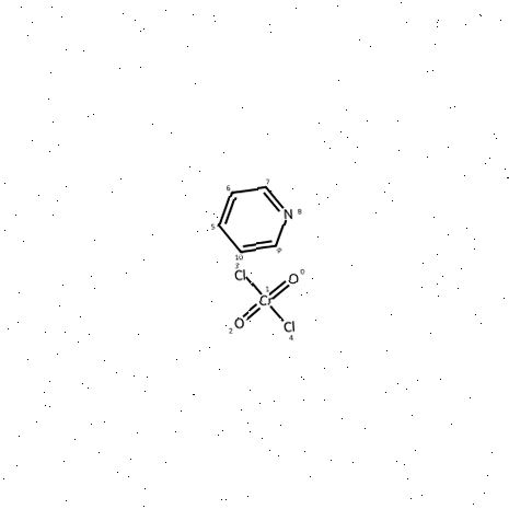 [O]=[Cr](=[O])([Cl])[Cl].c1ccncc1